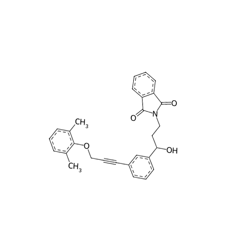 Cc1cccc(C)c1OCC#Cc1cccc(C(O)CCN2C(=O)c3ccccc3C2=O)c1